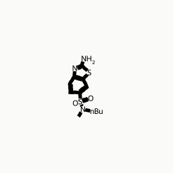 CCCCN(C)S(=O)(=O)c1ccc2nc(N)sc2c1